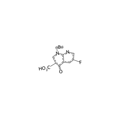 CCCCn1cc(C(=O)O)c(=O)c2cc(F)cnc21